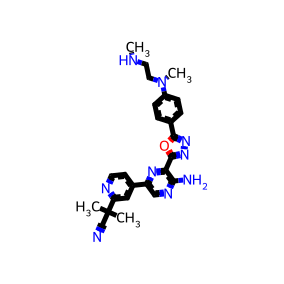 CNCCN(C)c1ccc(-c2nnc(-c3nc(-c4ccnc(C(C)(C)C#N)c4)cnc3N)o2)cc1